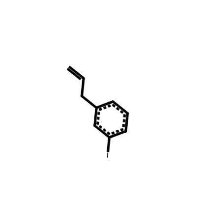 C=CCc1cccc(I)c1